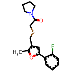 Cc1oc(-c2ccccc2F)cc1CSCC(=O)N1CCCC1